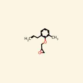 C=CCc1cccc(C)c1OCC1CO1